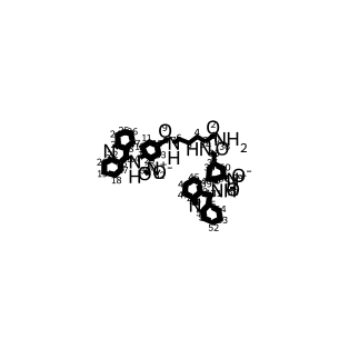 NC(=O)C(CCCNC(=O)c1ccc(Nc2c3ccccc3nc3ccccc23)c([N+](=O)[O-])c1)NC(=O)c1ccc(Nc2c3ccccc3nc3ccccc23)c([N+](=O)[O-])c1